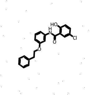 O=C(Nc1cccc(OCCc2ccccc2)c1)c1cc(Cl)ccc1O